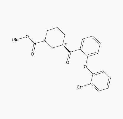 CCc1ccccc1Oc1ccccc1C(=O)[C@@H]1CCCN(C(=O)OC(C)(C)C)C1